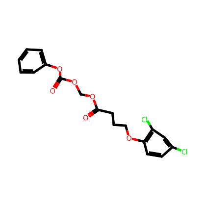 O=C(CCCOc1ccc(Cl)cc1Cl)OCOC(=O)Oc1ccccc1